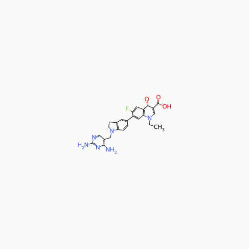 CCn1cc(C(=O)O)c(=O)c2cc(F)c(-c3ccc4c(c3)CCN4Cc3cnc(N)nc3N)cc21